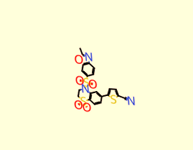 Cc1nc2ccc(S(=O)(=O)N3CCS(=O)(=O)c4ccc(-c5ccc(C#N)s5)cc43)cc2o1